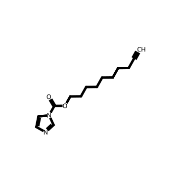 C#CCCCCCCCCOC(=O)n1ccnc1